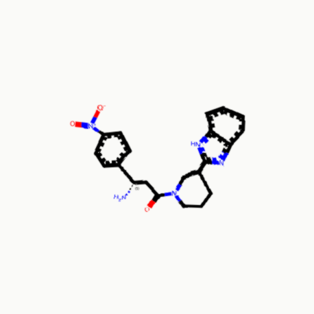 N[C@@H](CC(=O)N1CCCC(c2nc3ccccc3[nH]2)C1)c1ccc([N+](=O)[O-])cc1